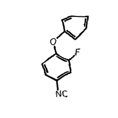 [C-]#[N+]c1ccc(Oc2ccccc2)c(F)c1